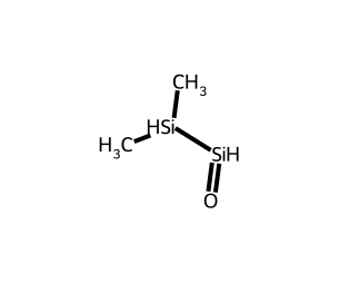 C[SiH](C)[SiH]=O